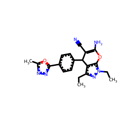 CCc1nn(CC)c2c1C(c1ccc(-c3nnc(C)o3)cc1)C(C#N)=C(N)O2